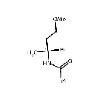 COCC[C@@](C)(NC(=O)C(C)C)C(C)C